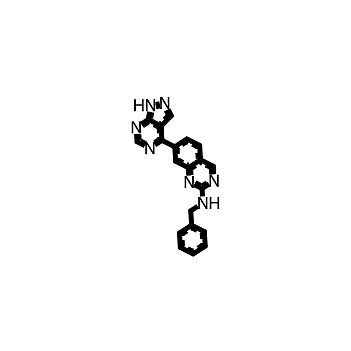 c1ccc(CNc2ncc3ccc(-c4ncnc5[nH]ncc45)cc3n2)cc1